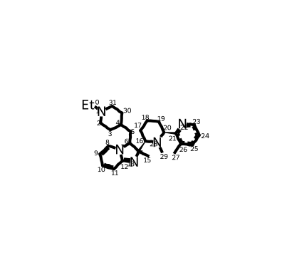 CCN1CCC(CC2N3C=CC=CC3=NC2(C)[C@H]2CCC[C@@H](c3ncccc3C)N2C)CC1